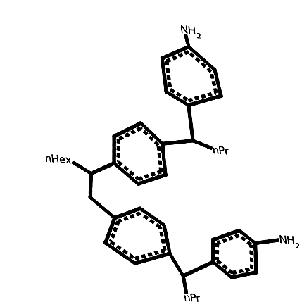 CCCCCCC(Cc1ccc(C(CCC)c2ccc(N)cc2)cc1)c1ccc(C(CCC)c2ccc(N)cc2)cc1